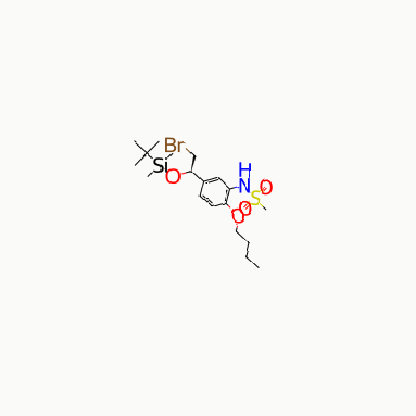 CCCCOc1ccc([C@H](CBr)O[Si](C)(C)C(C)(C)C)cc1NS(C)(=O)=O